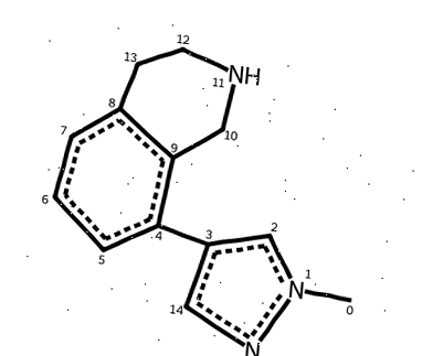 Cn1cc(-c2cccc3c2CNCC3)cn1